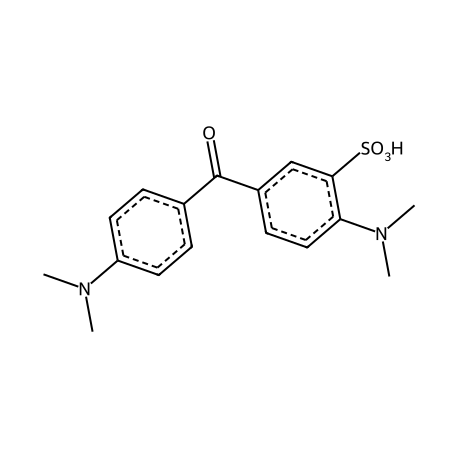 CN(C)c1ccc(C(=O)c2ccc(N(C)C)c(S(=O)(=O)O)c2)cc1